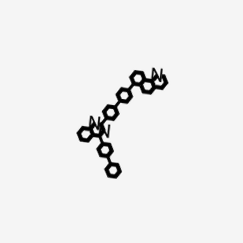 c1ccc(-c2ccc(-c3nc(-c4ccc(-c5ccc(-c6cccc7c6ccc6cccnc67)cc5)cc4)nc4ccccc34)cc2)cc1